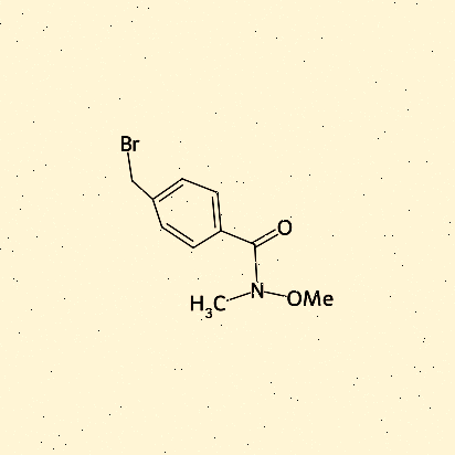 CON(C)C(=O)c1ccc(CBr)cc1